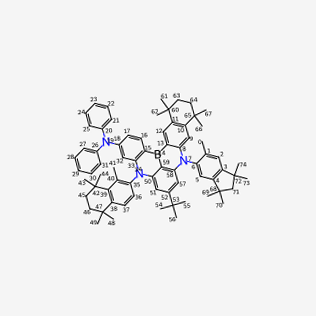 Cc1cc2c(cc1N1c3cc4c(cc3B3c5ccc(N(c6ccccc6)c6ccccc6)cc5N(c5ccc6c(c5C)C(C)(C)CCC6(C)C)c5cc(C(C)(C)C)cc1c53)C(C)(C)CCC4(C)C)C(C)(C)CC2(C)C